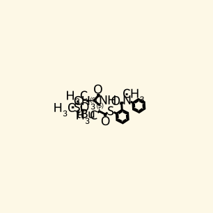 CC(C(=O)Sc1ccccc1C(=O)N(C)c1ccccc1)[C@H]1NC(=O)[C@@H]1C(C)O[Si](C)(C)C(C)(C)C